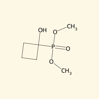 COP(=O)(OC)C1(O)CCC1